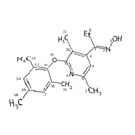 CC/C(=N\O)c1cc(C)nc(Oc2c(C)cc(C)cc2C)c1C